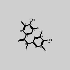 C=C(c1cc(C)c(O)c(C)c1)C(C)c1cc(C)c(O)c(C)c1